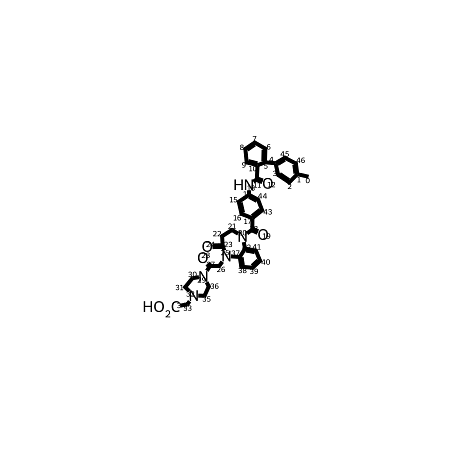 Cc1ccc(-c2ccccc2C(=O)Nc2ccc(C(=O)N3CCC(=O)N(CC(=O)N4CCN(CC(=O)O)CC4)c4ccccc43)cc2)cc1